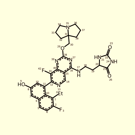 CCc1c(F)ccc2cc(O)cc(-c3ncc4c(NCCC5NC(=O)NC5=O)nc(OCC56CCCN5CCC6)nc4c3F)c12